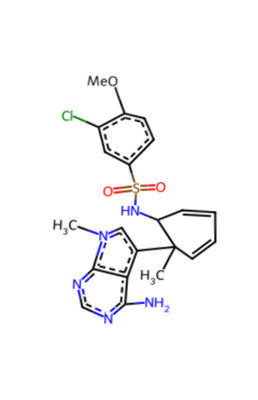 COc1ccc(S(=O)(=O)NC2C=CC=CC2(C)c2cn(C)c3ncnc(N)c23)cc1Cl